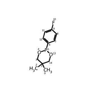 CC1(C)COP(c2ccc(F)cc2)OC1